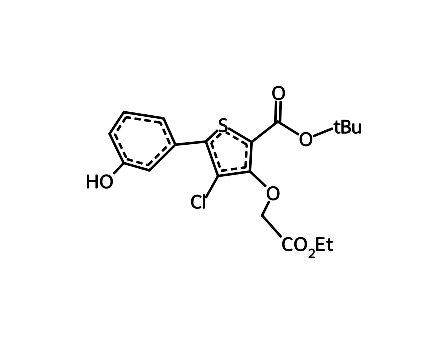 CCOC(=O)COc1c(C(=O)OC(C)(C)C)sc(-c2cccc(O)c2)c1Cl